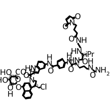 CC(C)[C@H](NCCNC(=O)CCCN1C(=O)C=CC1=O)C(=O)N[C@@H](CCCNC(N)=O)C(=O)Nc1ccc(C(=O)Nc2ccc3[nH]c(C(=O)N4C[C@@H](CCl)c5c4cc(OC4O[C@H](C(=O)O)[C@@H](O)[C@H](O)[C@H]4O)c4ccccc54)cc3c2)cc1